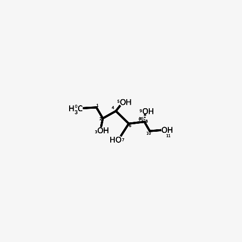 CCC(O)C(O)C(O)[C@H](O)CO